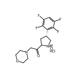 Cl.Cl.O=C(CN1CCOCC1)C1C[C@H](c2c(F)c(F)cc(F)c2F)CN1